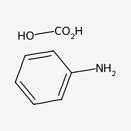 Nc1ccccc1.O=C(O)O